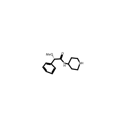 CO[C@H](C(=O)NC1CCNCC1)c1ccccc1